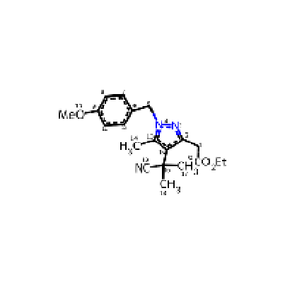 CCOC(=O)Cc1nn(Cc2ccc(OC)cc2)c(C)c1C(C)(C)C#N